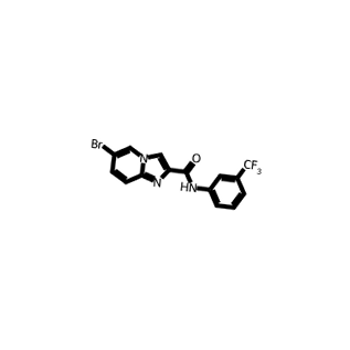 O=C(Nc1cccc(C(F)(F)F)c1)c1cn2cc(Br)ccc2n1